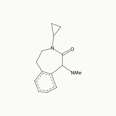 CNC1C(=O)N(C2CC2)CCc2ccccc21